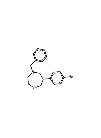 Brc1ccc(C2COCCN(Cc3ccccc3)C2)cc1